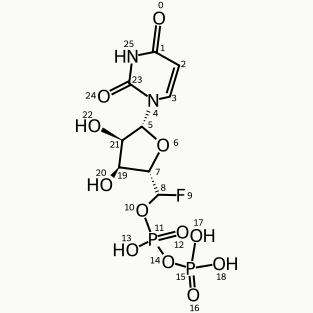 O=c1ccn([C@@H]2O[C@H](C(F)OP(=O)(O)OP(=O)(O)O)[C@@H](O)[C@H]2O)c(=O)[nH]1